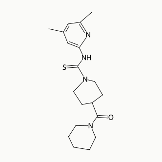 Cc1cc(C)nc(NC(=S)N2CCC(C(=O)N3CCCCC3)CC2)c1